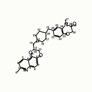 Cc1ccc2c3c(ccc2n1)OC[C@H](CN1CCC(Cc2ccc4c(c2)N(C)C(=O)CO4)CC1)O3